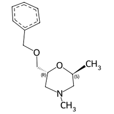 C[C@H]1CN(C)C[C@H](COCc2ccccc2)O1